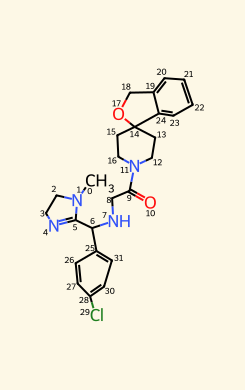 CN1CCN=C1C(NCC(=O)N1CCC2(CC1)OCc1ccccc12)c1ccc(Cl)cc1